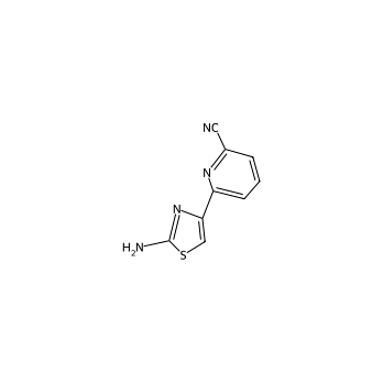 N#Cc1cccc(-c2csc(N)n2)n1